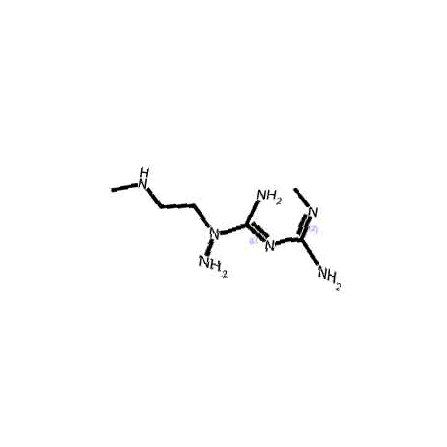 C/N=C(N)\N=C(/N)N(N)CCNC